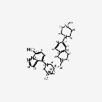 C[C@@H]1CN(c2ccc(C#N)n3nccc23)C[C@H](CN2CCc3cc(N4CCN(C)CC4)ccc3C2)O1